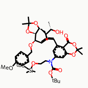 COc1ccc(CO[C@H](/C=C\[C@@H](C)[C@H](C)O)[C@H]2OC(C)(C)O[C@H]2C/C=C/c2cc(N(CCO[Si](C)(C)C(C)(C)C)C(=O)OC(C)(C)C)cc3c2C(=O)OC(C)(C)O3)cc1